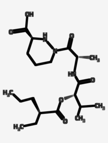 CCC[C@H](CC)C(=O)O[C@H](C(=O)N[C@@H](C)C(=O)N1CCC[C@@H](C(=O)O)N1)C(C)C